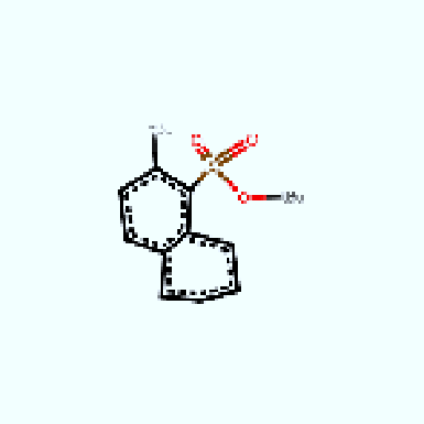 CC(C)(C)OS(=O)(=O)c1c(C(C)(C)C)ccc2ccccc12